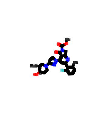 CO[C@@H]1CN(c2ccn(-c3cc(-c4c(F)cccc4C#N)nc4c3C(=O)N(C(=O)OC(C)(C)C)C4)n2)CC[C@H]1O